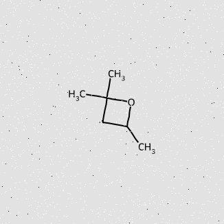 CC1[CH]C(C)(C)O1